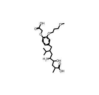 COCCCOc1cc(CC(CC(N)C(O)CC(C)C(=O)O)C(C)C)ccc1OCC(=O)O